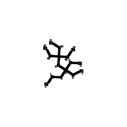 CCOCC(OCC)(OCC)O[Si](OCC)(OCC)OCC